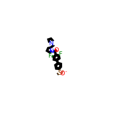 C[S+]([O-])c1ccc(-c2cc(F)c(C(=O)N3CCCC3CN3CCCC3)c(F)c2)cc1